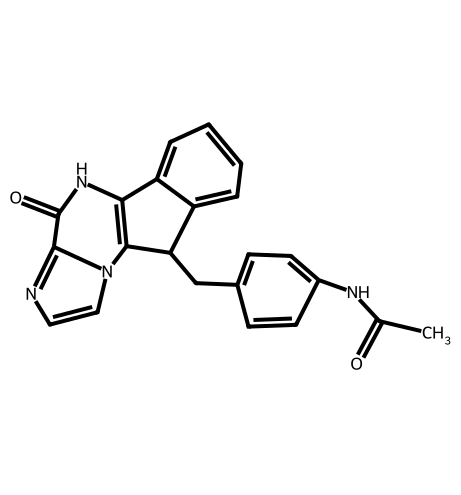 CC(=O)Nc1ccc(CC2c3ccccc3-c3[nH]c(=O)c4nccn4c32)cc1